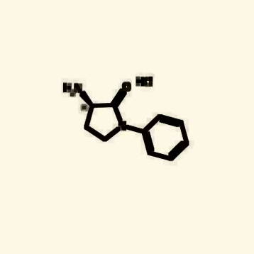 Cl.N[C@@H]1CCN(c2ccccc2)C1=O